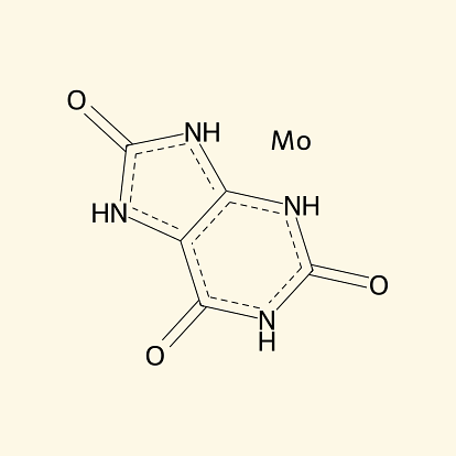 O=c1[nH]c(=O)c2[nH]c(=O)[nH]c2[nH]1.[Mo]